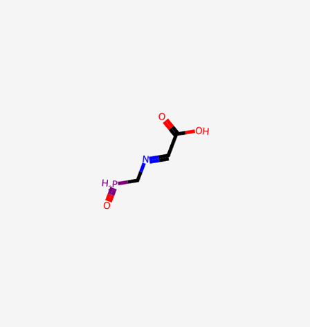 O=[PH2]CN=CC(=O)O